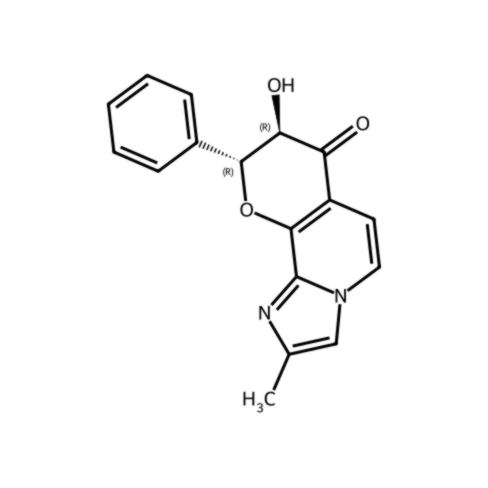 Cc1cn2ccc3c(c2n1)O[C@H](c1ccccc1)[C@@H](O)C3=O